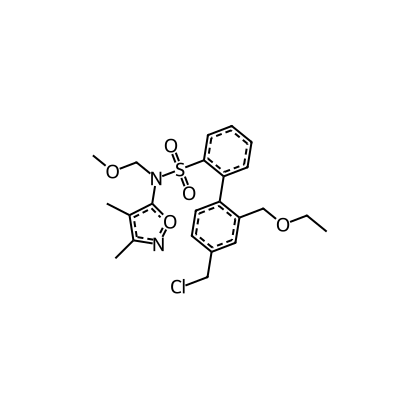 CCOCc1cc(CCl)ccc1-c1ccccc1S(=O)(=O)N(COC)c1onc(C)c1C